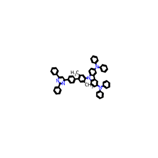 Cc1cc(-n2c3ccc(N(c4ccccc4)c4ccccc4)cc3c3cc(N(c4ccccc4)c4ccccc4)ccc32)c(C)cc1-c1ccc(-c2cc(-c3ccccc3)nc(-c3ccccc3)n2)cc1